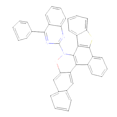 c1ccc(-c2nc(N3Oc4cc5ccccc5cc4-c4c3c3c5ccccc5sc3c3ccccc43)nc3ccccc23)cc1